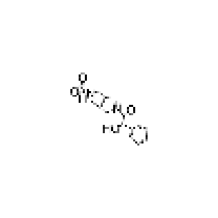 O=C(C(O)c1ccccc1)N1CC2=C(C1)CN([SH](=O)=O)C2